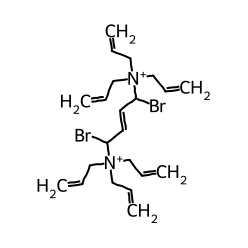 C=CC[N+](CC=C)(CC=C)C(Br)C=CC(Br)[N+](CC=C)(CC=C)CC=C